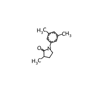 Cc1cc(C)cc(N2CCC(C)C2=O)c1